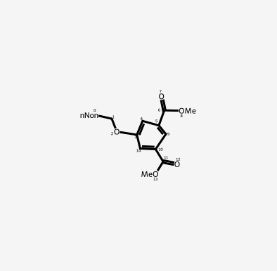 CCCCCCCCCCOc1cc(C(=O)OC)cc(C(=O)OC)c1